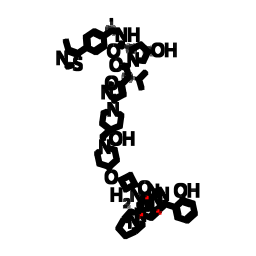 Cc1ncsc1-c1ccc([C@H](C)NC(=O)[C@@H]2C[C@@H](O)CN2C(=O)[C@@H](c2cc(N3CCC(O)(CN4CCC(O[C@H]5C[C@H](Oc6cc(N7C8CCC7CN(c7cc(-c9ccccc9O)nnc7N)C8)ccn6)C5)CC4)CC3)no2)C(C)C)cc1